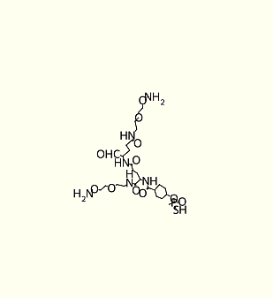 CP(=O)(S)O[C@H]1CC[C@@H](C(=O)NC(CCC(=O)NC(C=O)CCC(=O)NCCOCCON)C(=O)NCCOCCON)CC1